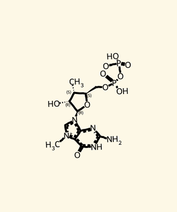 C[C@H]1[C@@H](O)[C@H](n2c[n+](C)c3c(=O)[nH]c(N)nc32)O[C@@H]1COP(=O)(O)OP(=O)([O-])O